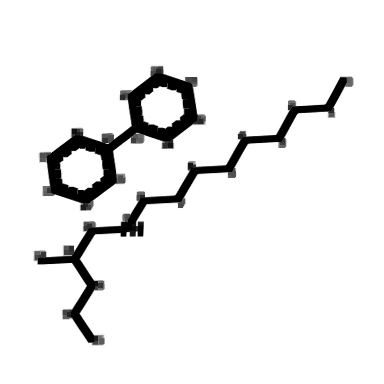 CCCCCCCCCPCC(C)CCC.c1ccc(-c2ccccc2)cc1